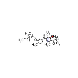 CCCNC[C@@H](CC)COC1=CC(NC(/N=C(/C)C(CC)C(=O)C(C)C)=C(\C)CC)=CCC1C